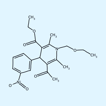 CCOCN1C(C)=C(C(C)=O)C(c2cccc([N+](=O)[O-])c2)C(C(=O)OCC)=C1C